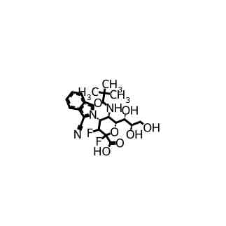 CC(C)(C)C(=O)N[C@H]1[C@H]([C@H](O)[C@H](O)CO)OC(F)(C(=O)O)C(F)[C@@H]1n1cc2ccccc2c1C#N